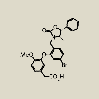 COc1ccc(CC(=O)O)cc1Oc1cc(Br)ccc1CN1C(=O)O[C@H](c2ccccc2)[C@@H]1C